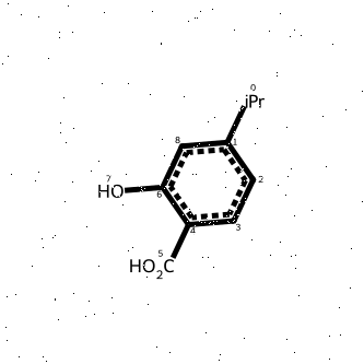 CC(C)c1ccc(C(=O)O)c(O)c1